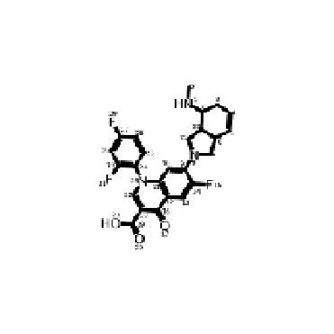 CNC1CC=CC2CN(c3cc4c(cc3F)c(=O)c(C(=O)O)cn4-c3ccc(F)cc3F)CC21